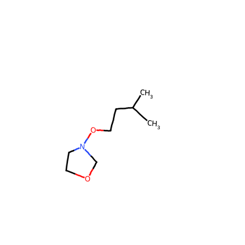 CC(C)CCON1CCOC1